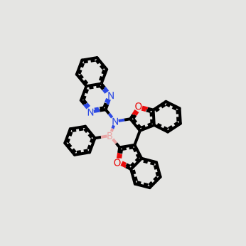 c1ccc(B2c3oc4ccccc4c3-c3c(oc4ccccc34)N2c2ncc3ccccc3n2)cc1